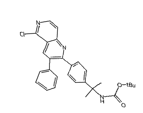 CC(C)(C)OC(=O)NC(C)(C)c1ccc(-c2nc3ccnc(Cl)c3cc2-c2ccccc2)cc1